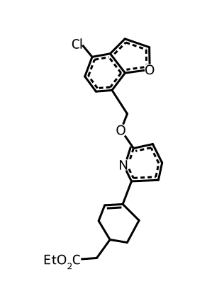 CCOC(=O)CC1CC=C(c2cccc(OCc3ccc(Cl)c4ccoc34)n2)CC1